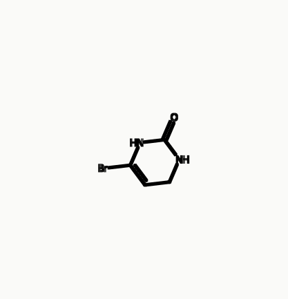 O=C1NCC=C(Br)N1